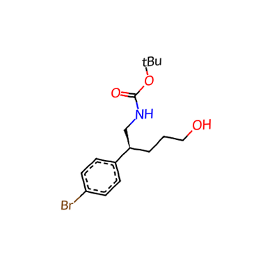 CC(C)(C)OC(=O)NC[C@@H](CCCO)c1ccc(Br)cc1